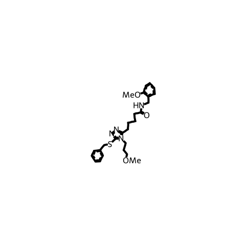 COCCCn1c(CCCCC(=O)NCc2ccccc2OC)nnc1SCc1ccccc1